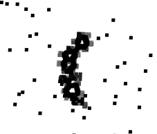 CN1CCC(C(=O)Nc2cc3cc(-c4cccnc4)ncc3cn2)CC1